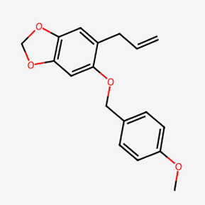 C=CCc1cc2c(cc1OCc1ccc(OC)cc1)OCO2